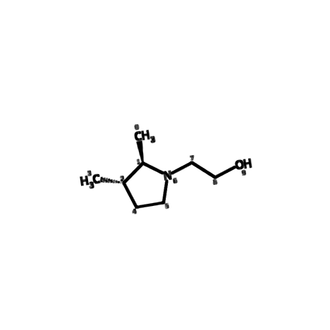 C[C@@H]1[C@@H](C)CCN1CCO